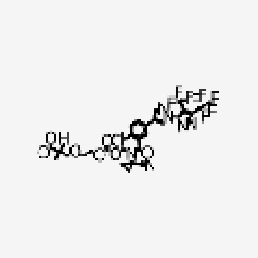 Cn1nc(C(F)(F)C(F)(F)F)c(C(F)(F)F)c1-n1cc(-c2ccc(Cl)c(C(=O)N(COC(=O)OCCOCC(C)(C)C(=O)O)C3(C#N)CC3)c2)cn1